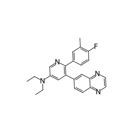 CCN(CC)c1cnc(-c2ccc(F)c(C)c2)c(-c2ccc3nccnc3c2)c1